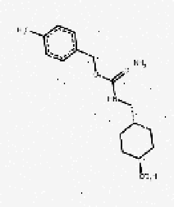 Cc1ccc(COC(=O)NC[C@H]2CC[C@H](C(=O)O)CC2)cc1.N